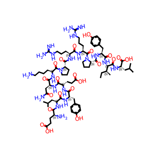 CC[C@H](C)[C@H](NC(=O)[C@H](Cc1ccc(O)cc1)NC(=O)[C@@H]1CCCN1C(=O)[C@H](CCCNC(=N)N)NC(=O)[C@H](CCCNC(=N)N)NC(=O)[C@@H]1CCCN1C(=O)[C@H](CCCCN)NC(=O)[C@H](CC(N)=O)NC(=O)[C@H](CCC(=O)O)NC(=O)[C@H](Cc1ccc(O)cc1)NC(=O)[C@H](CC(C)C)NC(=O)[C@@H](N)CCC(=O)O)C(=O)N[C@@H](CC(C)C)C(=O)O